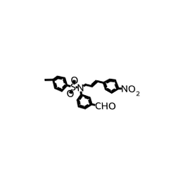 Cc1ccc(S(=O)(=O)N(CC=Cc2ccc([N+](=O)[O-])cc2)c2cccc(C=O)c2)cc1